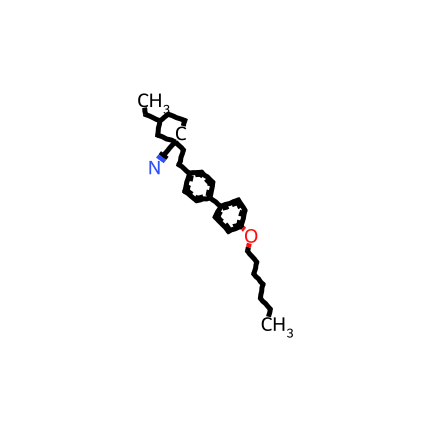 CCCCCCCOc1ccc(-c2ccc(CCC3(C#N)CCCC(CC)C3)cc2)cc1